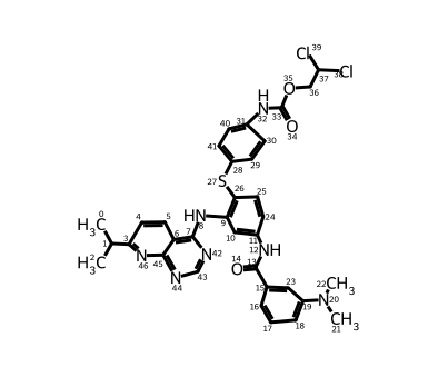 CC(C)c1ccc2c(Nc3cc(NC(=O)c4cccc(N(C)C)c4)ccc3Sc3ccc(NC(=O)OCC(Cl)Cl)cc3)ncnc2n1